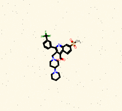 CS(=O)(=O)c1ccc2c(C(=O)O)c(CN3CCC(N4CCCCC4)CC3)c(-c3cccc(C(F)(F)F)c3)nc2c1